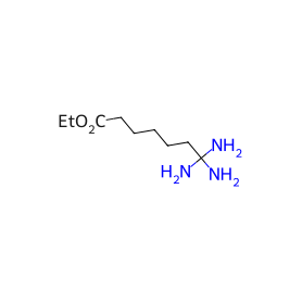 CCOC(=O)CCCCCC(N)(N)N